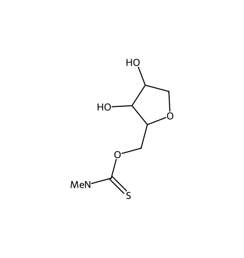 CNC(=S)OCC1OCC(O)C1O